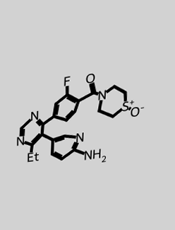 CCc1ncnc(-c2ccc(C(=O)N3CC[S+]([O-])CC3)c(F)c2)c1-c1ccc(N)nc1